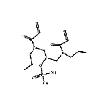 C=CC(=O)N(CCC)CC(CN(CCC)C(=O)C=C)OP(=O)(O)O